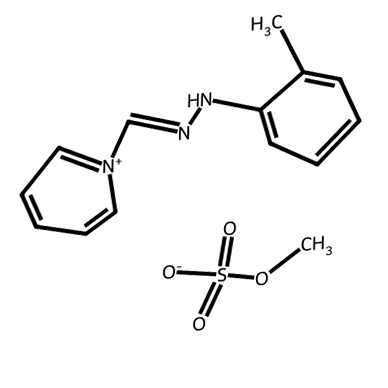 COS(=O)(=O)[O-].Cc1ccccc1NN=C[n+]1ccccc1